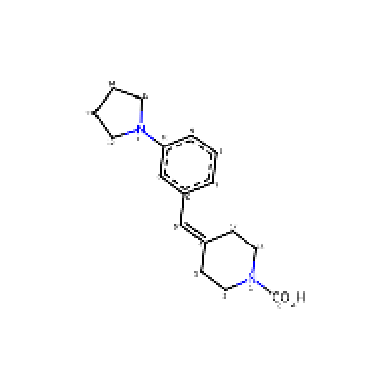 O=C(O)N1CCC(=Cc2cccc(N3CCCC3)c2)CC1